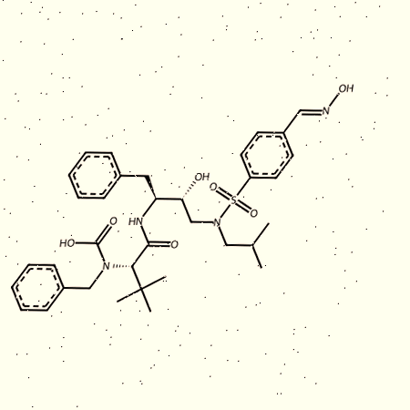 CC(C)CN(C[C@@H](O)[C@H](Cc1ccccc1)NC(=O)[C@@H](N(Cc1ccccc1)C(=O)O)C(C)(C)C)S(=O)(=O)c1ccc(/C=N/O)cc1